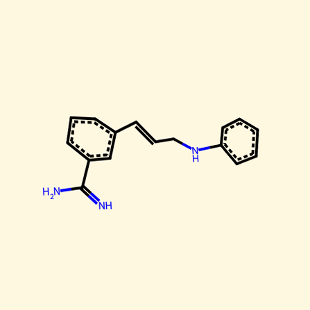 N=C(N)c1cccc(C=CCNc2ccccc2)c1